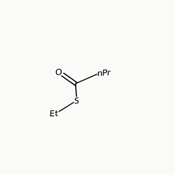 CCCC(=O)SCC